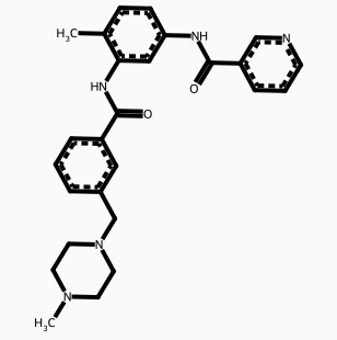 Cc1ccc(NC(=O)c2cccnc2)cc1NC(=O)c1cccc(CN2CCN(C)CC2)c1